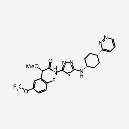 CO[C@@H](C(=O)Nc1nnc(N[C@H]2CC[C@@H](c3cccnn3)CC2)s1)c1cc(OC(F)(F)F)ccc1F